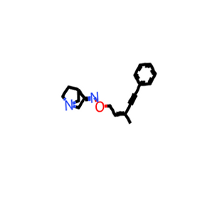 CC(C#Cc1ccccc1)=CCON=C1CN2CCC1C2